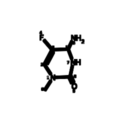 CN1C=C(F)C(N)NC1=O